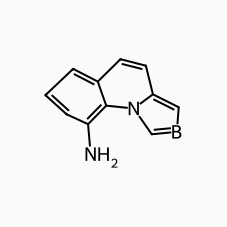 Nc1cccc2ccc3cbcn3c12